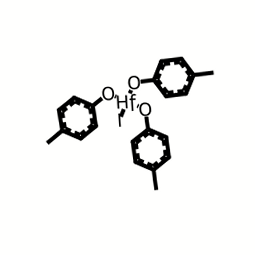 Cc1ccc([O][Hf]([I])([O]c2ccc(C)cc2)[O]c2ccc(C)cc2)cc1